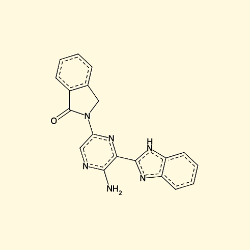 Nc1ncc(N2Cc3ccccc3C2=O)nc1-c1nc2ccccc2[nH]1